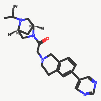 CC(C)C(C)N1C[C@@H]2C[C@H]1CN2C(=O)CN1CCc2cc(-c3cncnc3)ccc2C1